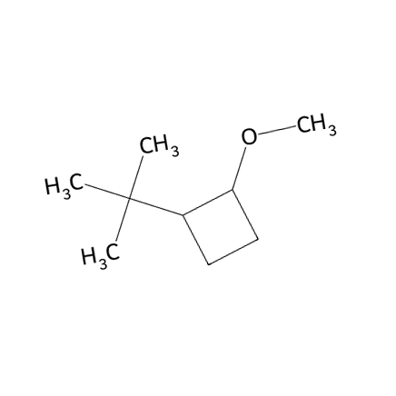 COC1CCC1C(C)(C)C